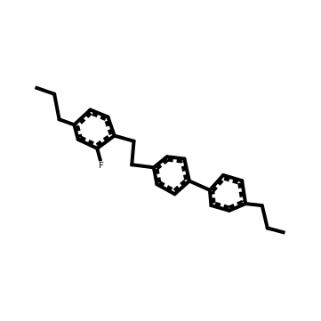 CCCc1ccc(-c2ccc(CCc3ccc(CCC)cc3F)cc2)cc1